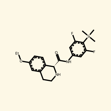 CCOc1ccc2c(c1)CCN[C@H]2C(=O)Nc1cc(F)c([Si](C)(C)C)c(F)c1